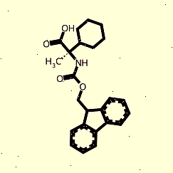 C[C@](NC(=O)OCC1c2ccccc2-c2ccccc21)(C(=O)O)C1CCCCC1